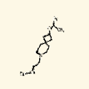 CCOCCN1CCC2(CC1)CC(OC(C)C(C)C)C2